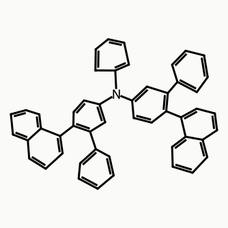 c1ccc(-c2cc(N(c3ccccc3)c3ccc(-c4cccc5ccccc45)c(-c4ccccc4)c3)ccc2-c2cccc3ccccc23)cc1